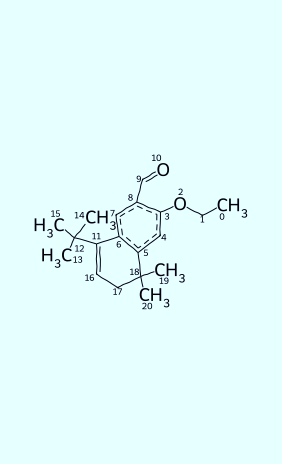 CCOc1cc2c(cc1C=O)C(C(C)(C)C)=CCC2(C)C